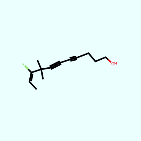 C/C=C(/F)C(C)(C)C#CC#CCCCO